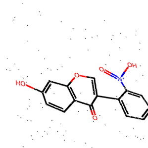 O=c1c(-c2ccccc2[N+](=O)O)coc2cc(O)ccc12